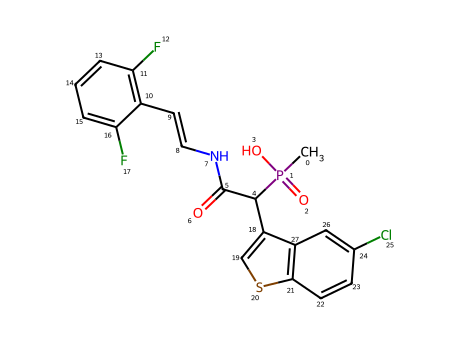 CP(=O)(O)C(C(=O)NC=Cc1c(F)cccc1F)c1csc2ccc(Cl)cc12